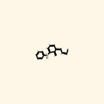 C=c1c(Nc2ccccc2)ccc/c1=C/C=C\C